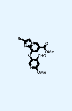 COC(=O)c1cc(Oc2cnc(OC)cc2C=O)c2nc(Br)cn2c1